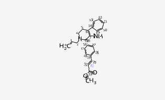 C=CCN1CCc2c([nH]c3ccccc23)[C@@H]1c1ccc(/C=C/C(=O)OC)cc1